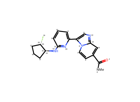 CNC(=O)c1ccn2c(-c3cccc(N[C@H]4CCC[C@@H]4F)n3)cnc2c1